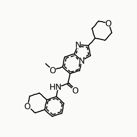 COc1cc2nc(C3CCOCC3)cn2cc1C(=O)Nc1cccc2c1CCOC2